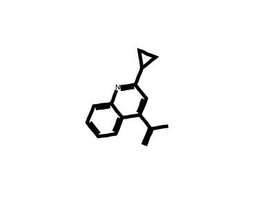 C=C(C)c1cc(C2CC2)nc2ccccc12